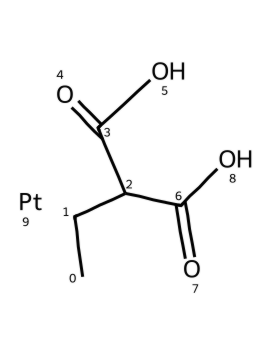 CCC(C(=O)O)C(=O)O.[Pt]